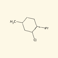 CC1CCC(C(C)C)C(Cl)C1